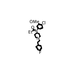 CCC(=O)N(c1ccc(Cl)c(OC)c1)C1CCN(CCc2ccc(F)cc2)CC1